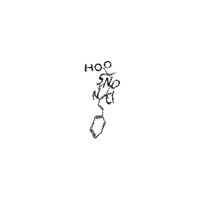 Cc1c(C(=O)O)sc2nc(/C=C/c3ccccc3)c(Cl)c(=O)n12